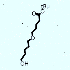 CC(C)(C)OC(=O)CCCCOCCCCCO